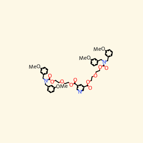 COc1cccc(CN(Cc2cccc(OC)c2)C(=O)OCCOCCOC(=O)c2cncc(C(=O)OCCOCCOC(=O)N(Cc3cccc(OC)c3)Cc3cccc(OC)c3)c2)c1